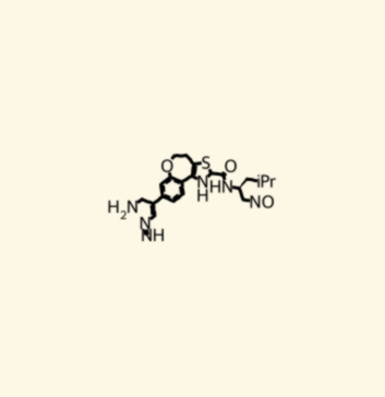 CC(C)C[C@@H](CN=O)NC(=O)C1NC2=C(CCOc3cc(/C(=C/N=N)CN)ccc32)S1